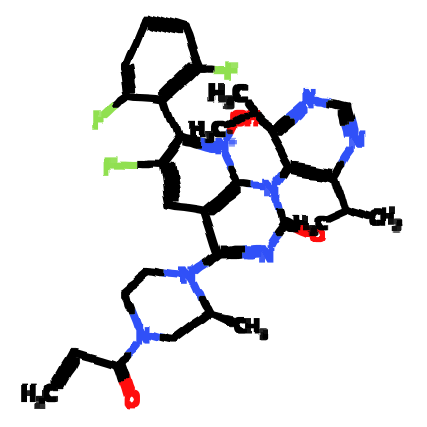 C=CC(=O)N1CCN(c2nc(=O)n(-c3c(C(C)C)ncnc3C(C)C)c3c2cc(F)c(-c2c(F)cccc2F)[n+]3O)[C@@H](C)C1